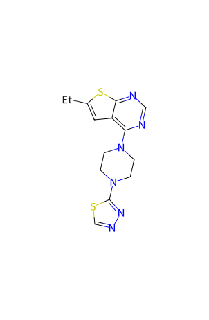 CCc1cc2c(N3CCN(c4nncs4)CC3)ncnc2s1